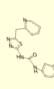 O=C(Nc1cccc(Cl)c1)Nc1nnc(Cc2ccccn2)s1